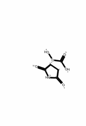 O=C(O)OO.O=C1CCC(=O)N1